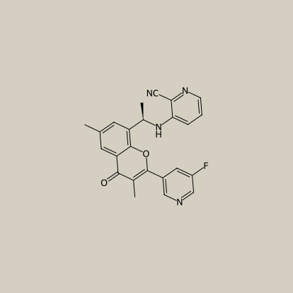 Cc1cc([C@@H](C)Nc2cccnc2C#N)c2oc(-c3cncc(F)c3)c(C)c(=O)c2c1